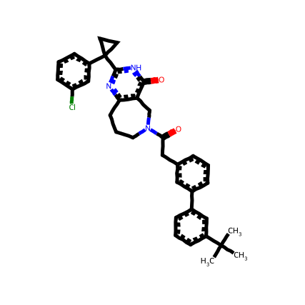 CC(C)(C)c1cccc(-c2cccc(CC(=O)N3CCCc4nc(C5(c6cccc(Cl)c6)CC5)[nH]c(=O)c4C3)c2)c1